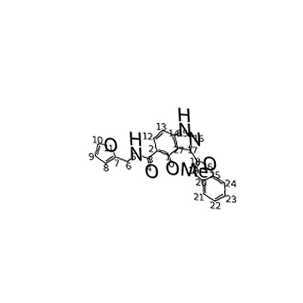 COc1c(C(=O)NCc2ccco2)ccc2[nH]nc(-c3cc4ccccc4o3)c12